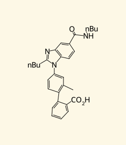 CCCCNC(=O)c1ccc2c(c1)nc(CCCC)n2-c1ccc(-c2ccccc2C(=O)O)c(C)c1